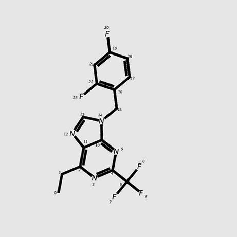 CCc1nc(C(F)(F)F)nc2c1ncn2Cc1ccc(F)cc1F